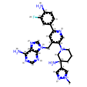 Cn1cc([C@@]2(N)CCCN(c3cnc(-c4ccc(N)c(F)c4)cc3Cn3cnc4c(N)ncnc43)C2)cn1